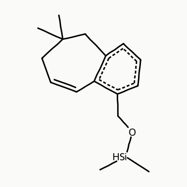 C[SiH](C)OCc1cccc2c1C=CCC(C)(C)C2